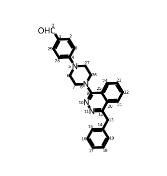 O=Cc1ccc(N2CCN(c3nnc(Cc4ccccc4)c4ccccc34)CC2)cc1